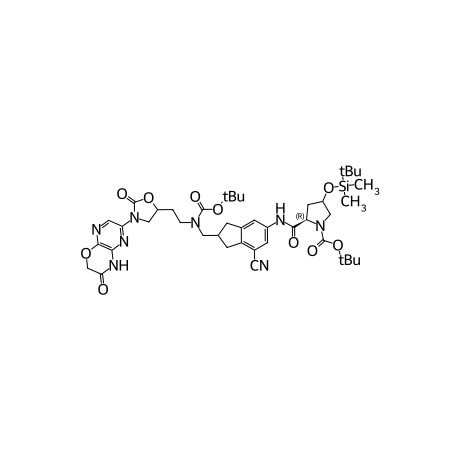 CC(C)(C)OC(=O)N(CCC1CN(c2cnc3c(n2)NC(=O)CO3)C(=O)O1)CC1Cc2cc(NC(=O)[C@H]3CC(O[Si](C)(C)C(C)(C)C)CN3C(=O)OC(C)(C)C)cc(C#N)c2C1